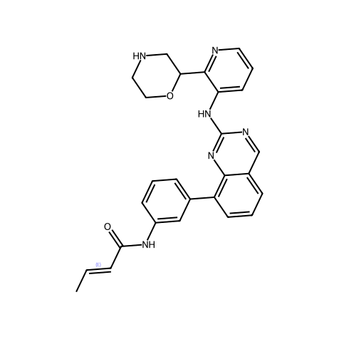 C/C=C/C(=O)Nc1cccc(-c2cccc3cnc(Nc4cccnc4C4CNCCO4)nc23)c1